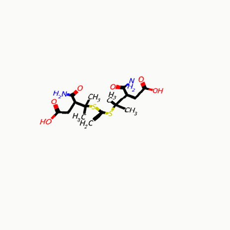 C=C(SC(C)(C)C(CC(=O)O)C(N)=O)SC(C)(C)C(CC(=O)O)C(N)=O